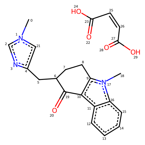 Cn1cnc(CC2CCc3c(c4ccccc4n3C)C2=O)c1.O=C(O)/C=C\C(=O)O